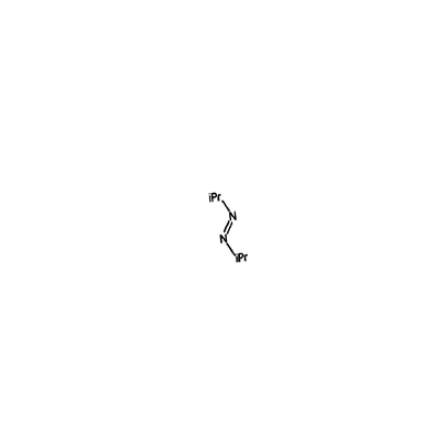 CC(C)/N=N/C(C)C